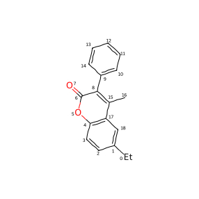 CCc1ccc2oc(=O)c(-c3ccccc3)c(C)c2c1